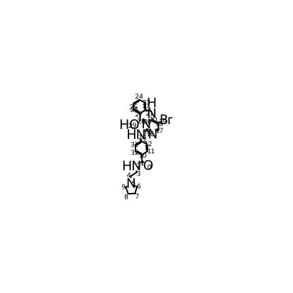 O=C(NCCN1CCCC1)c1ccc(Nc2ncc(Br)c(Nc3ccccc3CO)n2)cc1